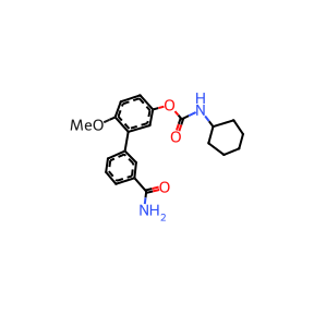 COc1ccc(OC(=O)NC2CCCCC2)cc1-c1cccc(C(N)=O)c1